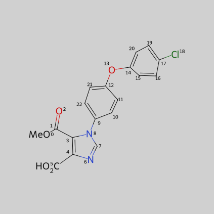 COC(=O)c1c(C(=O)O)ncn1-c1ccc(Oc2ccc(Cl)cc2)cc1